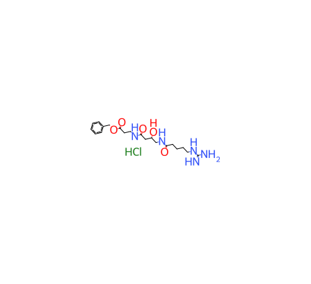 Cl.N=C(N)NCCCCC(=O)NCC(O)CC(=O)NCCC(=O)OCc1ccccc1